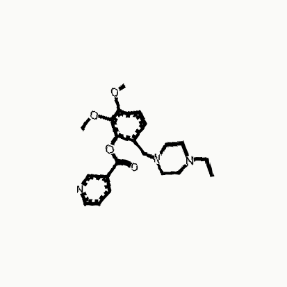 CCN1CCN(Cc2ccc(OC)c(OC)c2OC(=O)c2cccnc2)CC1